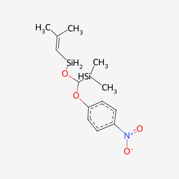 CC(C)=C[SiH2]OC(Oc1ccc([N+](=O)[O-])cc1)[SiH](C)C